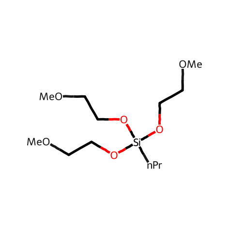 CCC[Si](OCCOC)(OCCOC)OCCOC